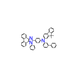 CC1(C)c2ccccc2-c2ccc(N(c3ccc(-c4nc5c6ccccc6c6ccccc6c5n4-c4ccccc4)cc3)c3cccc(-c4ccccc4)c3)cc21